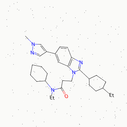 CCC1CCC(c2nc3ccc(-c4cnn(C)c4)cc3n2CCC(=O)N(CC)C2CCCCC2)CC1